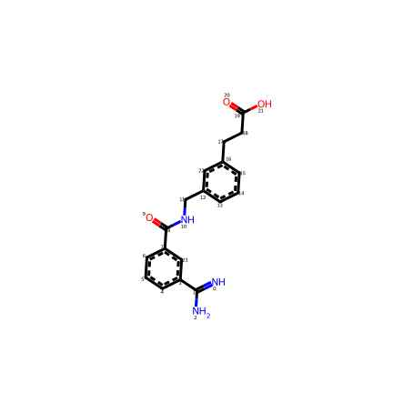 N=C(N)c1cccc(C(=O)NCc2cccc(CCC(=O)O)c2)c1